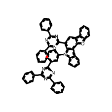 c1ccc(-c2nc(-c3ccccc3)nc(-c3cccc(-n4c5ccccc5c5c6oc7ccccc7c6cc(-c6nc(-c7ccccc7)nc(-c7ccccc7)n6)c54)c3)n2)cc1